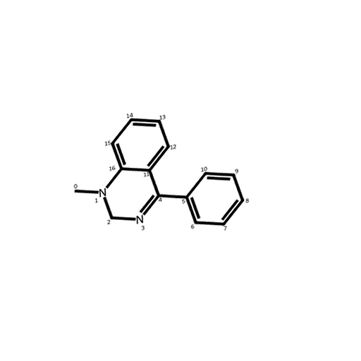 CN1CN=C(c2ccccc2)c2ccccc21